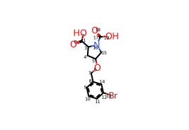 O=C(O)C1CC(OCc2cccc(Br)c2)CN1C(=O)O